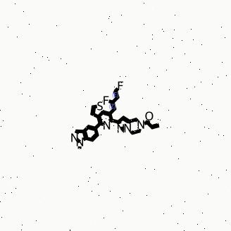 C=CC(=O)N1CCn2nc(-c3nc(-c4ccc5c(cnn5C)c4)c4ccsc4c3/C=C(F)/C=C/F)cc2C1